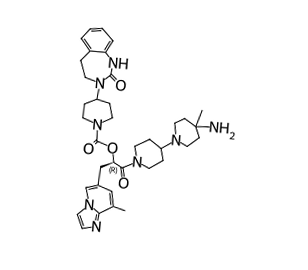 Cc1cc(C[C@@H](OC(=O)N2CCC(N3CCc4ccccc4NC3=O)CC2)C(=O)N2CCC(N3CCC(C)(N)CC3)CC2)cn2ccnc12